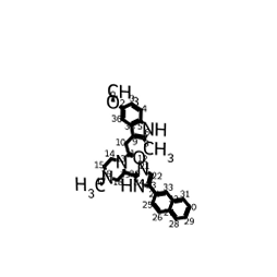 COc1ccc2[nH]c(C)c(CC(=O)N3CCN(C)CC3c3ncc(-c4ccc5ccccc5c4)[nH]3)c2c1